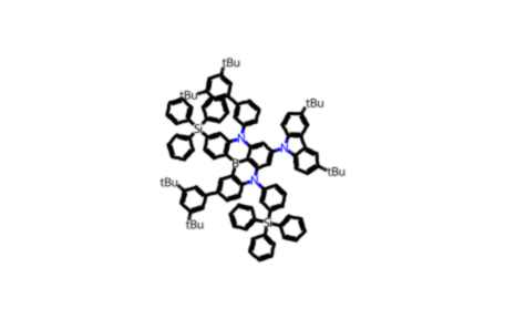 CC(C)(C)c1cc(-c2cccc(N3c4cc([Si](c5ccccc5)(c5ccccc5)c5ccccc5)ccc4B4c5cc(-c6cc(C(C)(C)C)cc(C(C)(C)C)c6)ccc5N(c5cccc([Si](c6ccccc6)(c6ccccc6)c6ccccc6)c5)c5cc(-n6c7ccc(C(C)(C)C)cc7c7cc(C(C)(C)C)ccc76)cc3c54)c2)cc(C(C)(C)C)c1